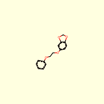 c1ccc(OCCOc2ccc3c(c2)OCO3)cc1